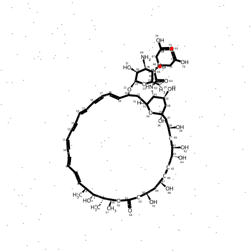 C[C@@H]1[C@H](O)[C@@H](C)/C=C/C=C/C=C/C=C/C=C/C=C/C=C/[C@H](O[C@@H]2O[C@H](C)[C@@H](O)[C@H](N)[C@@H]2O)C[C@@H]2O[C@](O)(C[C@@H](O)C[C@@H](O)[C@H](O)CC[C@@H](O)C[C@@H](O)CC(=O)O[C@H]1C)C[C@H](O)[C@H]2NC(=O)NN(CC(=O)O)CC(=O)O